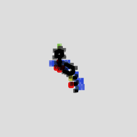 CNC(=O)Nc1nc2c(s1)C1CN(C(C)=O)CC(C2)N1C(=O)NC(=N)c1ccc(F)cc1